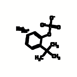 CC(C)(C)c1ccccc1OP(=O)([O-])[O-].[Na+].[Na+]